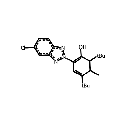 CC1C(C(C)(C)C)=CC(n2nc3ccc(Cl)cc3n2)=C(O)C1C(C)(C)C